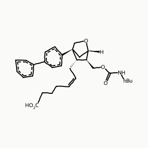 CCCCNC(=O)OC[C@@H]1[C@@H]2C[C@@](c3ccc(-c4ccccc4)cc3)(CO2)[C@H]1C/C=C\CCCC(=O)O